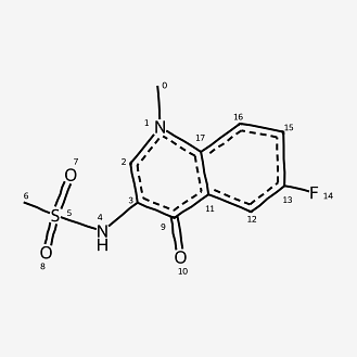 Cn1cc(NS(C)(=O)=O)c(=O)c2cc(F)ccc21